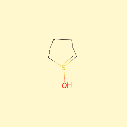 OS1=CCCC1